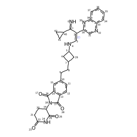 N=C(/C(=C\NC1CC(CCc2ccc3c(c2)C(=O)N(C2CCC(=O)NC2=O)C3=O)C1)c1cnc2ccccc2n1)C1CC1